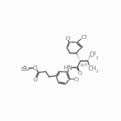 C[C@H]([C@H](C(=O)Nc1cc(CCC(=O)OC(C)(C)C)ccc1Cl)C1C=C(Cl)C(Cl)=CC1)C(F)(F)F